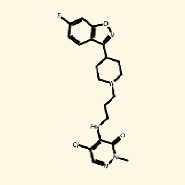 Cn1ncc(Cl)c(NCCCN2CCC(c3noc4cc(F)ccc34)CC2)c1=O